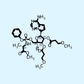 COCCC(=O)O[C@H]1[C@H](c2ccc3c(N)ncnn23)O[C@](C#N)(COP(=O)(N[C@@H](C)C(=O)OC)Oc2ccccc2)[C@H]1OC(=O)CCOC